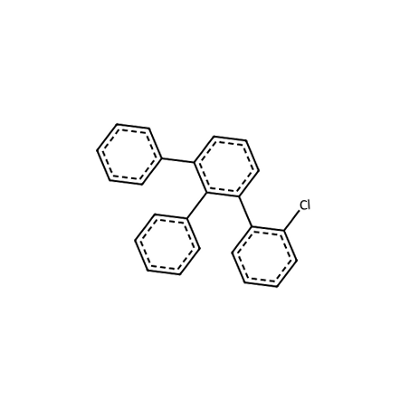 Clc1ccccc1-c1cccc(-c2ccccc2)c1-c1ccccc1